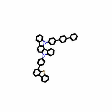 c1ccc(-c2ccc(-c3ccc(-n4c5ccccc5c5ccc6c(c7ccccc7n6-c6ccc(-c7cccc8c7sc7ccccc78)cc6)c54)cc3)cc2)cc1